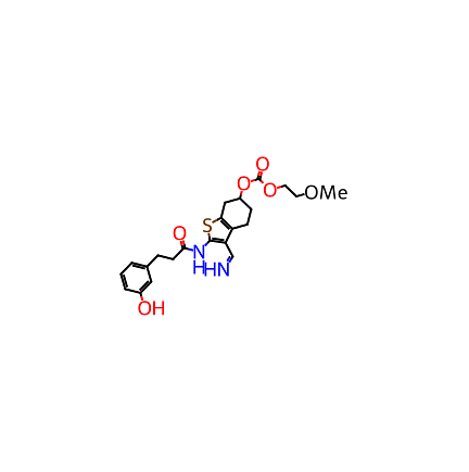 COCCOC(=O)OC1CCc2c(sc(NC(=O)CCc3cccc(O)c3)c2C=N)C1